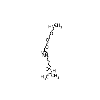 CCC(C)NC(=O)CCCCCn1cc(COCCOCCOCCNC)nn1